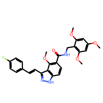 COc1cc(OC)c(CNC(=O)c2ccc3[nH]nc(C=Cc4ccc(F)cc4)c3c2OC)c(OC)c1